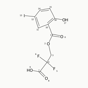 O=C(OCC(F)(F)C(=O)O)c1cc(I)ccc1O